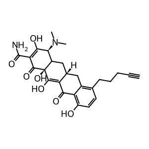 C#CCCCc1ccc(O)c2c1C[C@H]1CC3[C@H](N(C)C)C(O)=C(C(N)=O)C(=O)[C@@]3(O)C(O)=C1C2=O